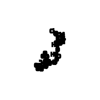 CC[C@H](C(=O)N1CCCC[C@H]1C(=O)O[C@H](CCc1ccc(OC)c(OC)c1)c1cccc(OCC(=O)NCCOCCNC(=O)[C@H](CC)[C@@H]2N=C(c3ccc(Cl)cc3)c3c(sc(C)c3C)-n3c(C)nnc32)c1)c1cc(OC)c(OC)c(OC)c1